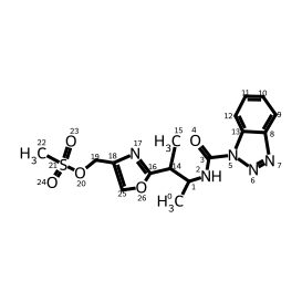 CC(NC(=O)n1nnc2ccccc21)C(C)c1nc(COS(C)(=O)=O)co1